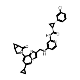 O=C(Nc1cc(NCc2cn3cc(C4CC4)cc(N4CC5CC5C4=O)c3n2)ccn1)[C@H]1C[C@@H]1c1cccc(Cl)c1